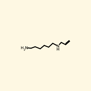 C=CCNCCCCCCN